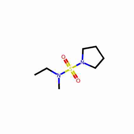 CCN(C)S(=O)(=O)N1CCCC1